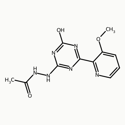 COc1cccnc1-c1nc(O)nc(NNC(C)=O)n1